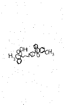 CCC(CCCN1CCC(NC(=O)c2cc(C)ccc2-c2ccccc2)CC1)(CC(=O)O)c1ccccc1